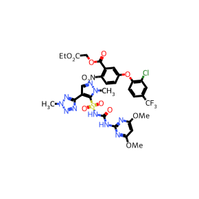 CCOC(=O)COC(=O)c1cc(Oc2ccc(C(F)(F)F)cc2Cl)ccc1[N+](=O)[O-].COc1cc(OC)nc(NC(=O)NS(=O)(=O)c2c(-c3nnn(C)n3)cnn2C)n1